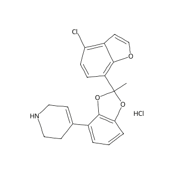 CC1(c2ccc(Cl)c3ccoc23)Oc2cccc(C3=CCNCC3)c2O1.Cl